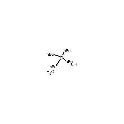 CCCC[N+](CCCC)(CCCC)CCCC.Cl.O